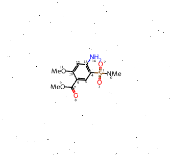 CNS(=O)(=O)c1cc(C(=O)OC)c(OC)cc1N